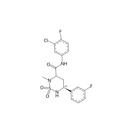 CN1C(C(=O)Nc2ccc(F)c(Cl)c2)C[C@@H](c2cccc(F)c2)NS1(=O)=O